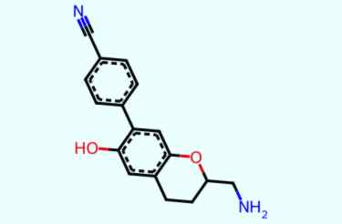 N#Cc1ccc(-c2cc3c(cc2O)CCC(CN)O3)cc1